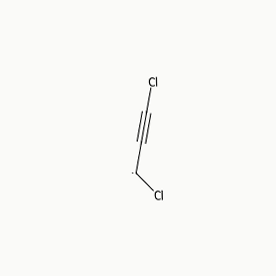 ClC#C[CH]Cl